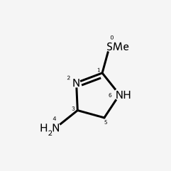 CSC1=NC(N)CN1